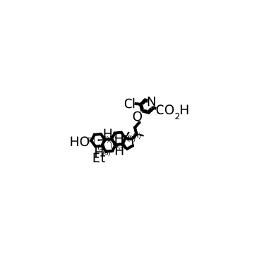 CC[C@H]1C[C@@H]2[C@H](CC[C@]3(C)[C@@H]([C@H](C)CCOc4cc(C(=O)O)ncc4Cl)CC[C@@H]23)[C@@]2(C)CC[C@@H](O)C[C@@H]12